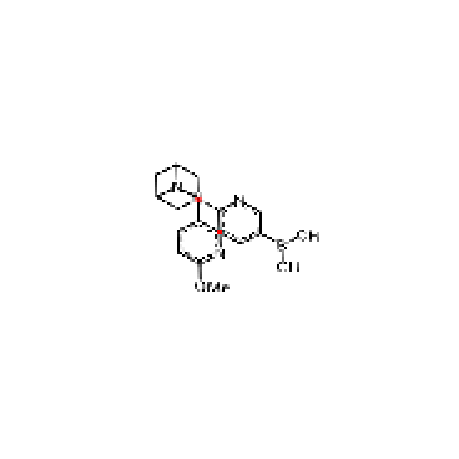 COc1ccc(CN2C3CC2CN(c2ccc(B(O)O)cn2)C3)cn1